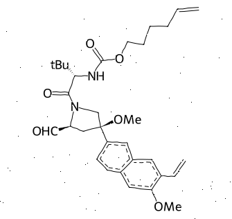 C=CCCCCOC(=O)N[C@H](C(=O)N1C[C@](OC)(c2ccc3cc(OC)c(C=C)cc3c2)C[C@H]1C=O)C(C)(C)C